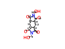 O=c1c2cc3c(=O)n(CO)c(=O)c3cc2c(=O)n1CO